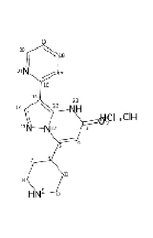 Cl.Cl.O=c1cc(C2CCNCC2)n2ncc(-c3ccccn3)c2[nH]1